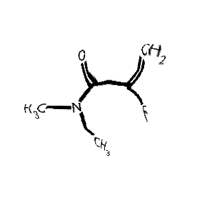 C=C(F)C(=O)N(C)C